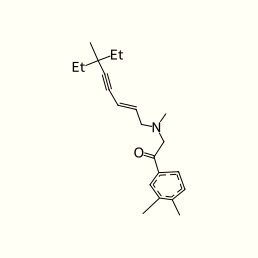 CCC(C)(C#C/C=C/CN(C)CC(=O)c1ccc(C)c(C)c1)CC